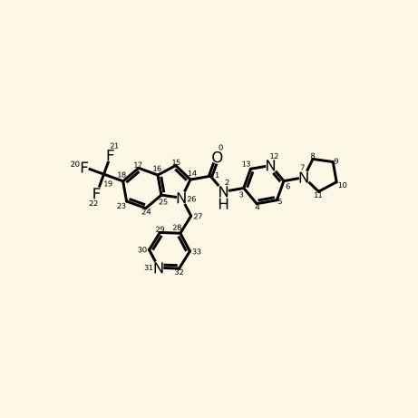 O=C(Nc1ccc(N2CCCC2)nc1)c1cc2cc(C(F)(F)F)ccc2n1Cc1ccncc1